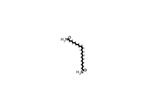 NC(=O)CCCCCCC/C=C\CCCCCCCCCCCC(N)=O